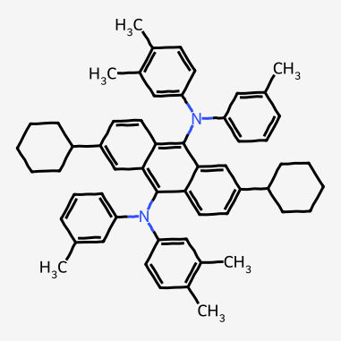 Cc1cccc(N(c2ccc(C)c(C)c2)c2c3ccc(C4CCCCC4)cc3c(N(c3cccc(C)c3)c3ccc(C)c(C)c3)c3ccc(C4CCCCC4)cc23)c1